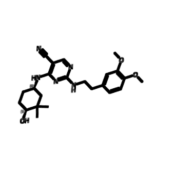 COc1ccc(CCNc2ncc(C#N)c(N[C@@H]3CC[C@H](O)C(C)(C)C3)n2)cc1OC